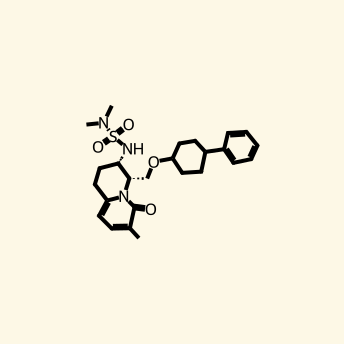 Cc1ccc2n(c1=O)[C@@H](COC1CCC(c3ccccc3)CC1)[C@@H](NS(=O)(=O)N(C)C)CC2